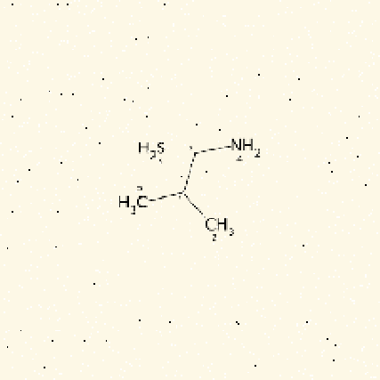 CC(C)CN.S